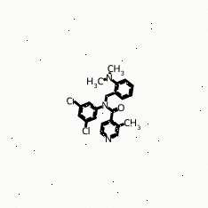 Cc1cnccc1C(=O)N(Cc1ccccc1N(C)C)c1cc(Cl)cc(Cl)c1